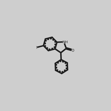 O=C1Nc2ccc(I)cc2C1c1ccccc1